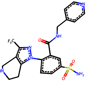 NS(=O)(=O)c1ccc(-n2nc(C(F)(F)F)c3c2CCNC3)c(C(=O)NCc2ccncc2)c1